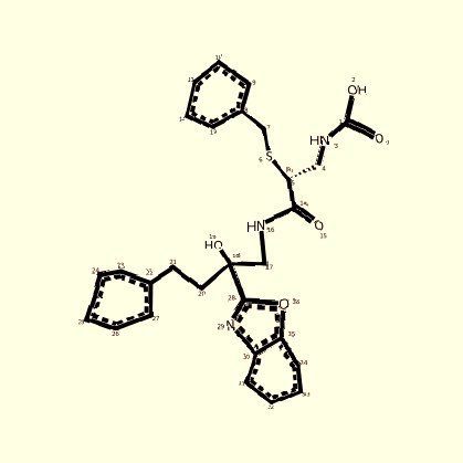 O=C(O)NC[C@@H](SCc1ccccc1)C(=O)NCC(O)(CCc1ccccc1)c1nc2ccccc2o1